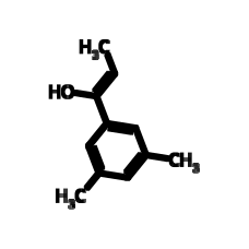 CC=C(O)c1cc(C)cc(C)c1